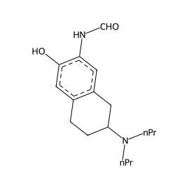 CCCN(CCC)C1CCc2cc(O)c(NC=O)cc2C1